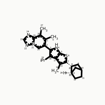 Cc1c(-c2[nH]c3sc([C@@H]4CC5CC[C@@H]4C5)c(C)c3c2C(C)C)cn2ncnc2c1C